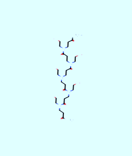 COC(=O)CCN(CCO)C(=O)CCN(CCO)C(=O)CCN(CCO)CCC(=O)N(CCO)CCC(=O)N(CCO)CCC(=O)OC